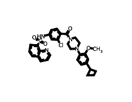 COc1cc(C2CCC2)ccc1N1CCN(C(=O)c2ccc(NS(=O)(=O)c3cccc4cccnc34)cc2Cl)CC1